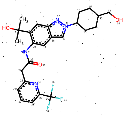 CC(C)(O)c1cc2nn(C3CCC(CO)CC3)cc2cc1NC(=O)Cc1cccc(C(F)(F)F)n1